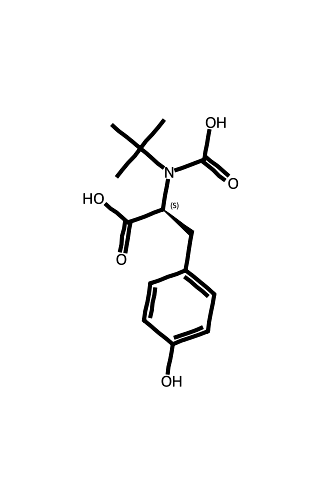 CC(C)(C)N(C(=O)O)[C@@H](Cc1ccc(O)cc1)C(=O)O